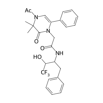 CC(=O)N1C=C(c2ccccc2)N(CC(=O)NC(Cc2ccccc2)C(O)C(F)(F)F)C(=O)C1(C)C